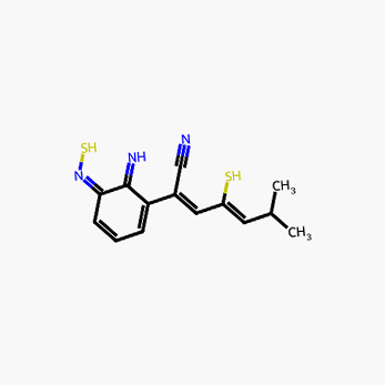 CC(C)/C=C(S)/C=C(\C#N)C1=CC=C/C(=N/S)C1=N